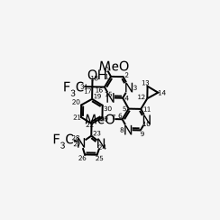 COc1cnc(-c2c(OC)ncnc2C2CC2)nc1C(O)(c1ccc(-c2nccn2C(F)(F)F)cc1)C(F)(F)F